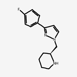 Fc1ccc(-c2ccn(C[C@@H]3CCCCN3)n2)cc1